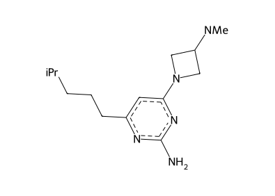 CNC1CN(c2cc(CCCC(C)C)nc(N)n2)C1